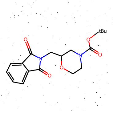 CC(C)(C)OC(=O)N1CCOC(CN2C(=O)c3ccccc3C2=O)C1